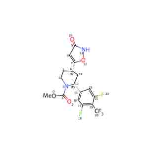 COC(=O)N1CC[C@H](c2cc(=O)[nH]o2)C[C@@H]1c1cc(F)c(C(F)(F)F)c(F)c1